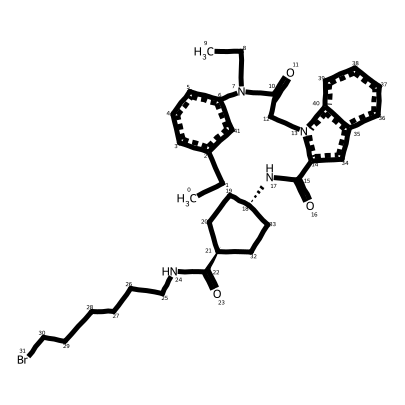 CCc1cccc(N(CC)C(=O)Cn2c(C(=O)N[C@H]3CC[C@H](C(=O)NCCCCCCBr)CC3)cc3ccccc32)c1